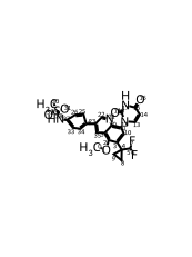 COc1c(C2(C(F)F)CC2)cc(-n2ccc(=O)[nH]c2=O)c2ncc(-c3ccc(NS(C)(=O)=O)cc3)cc12